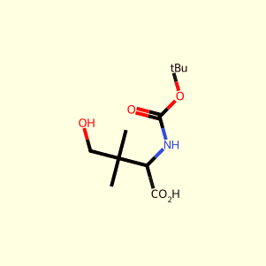 CC(C)(C)OC(=O)NC(C(=O)O)C(C)(C)CO